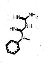 CN(C(=N)NC(=N)N)c1ccccc1